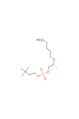 C[C@H](COP(=O)([O-])OCC[N+](C)(C)C)OCCCCC(=O)O